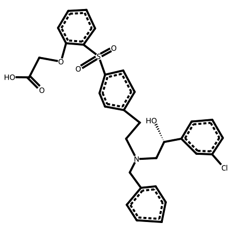 O=C(O)COc1ccccc1S(=O)(=O)c1ccc(CCN(Cc2ccccc2)C[C@H](O)c2cccc(Cl)c2)cc1